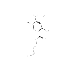 CC(=O)Nc1cc(O)c(C(=O)CCCCCl)cc1Cl